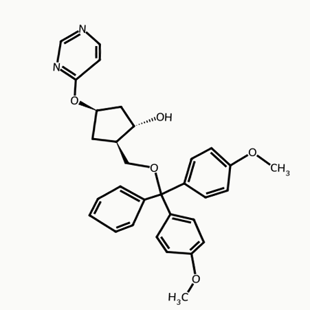 COc1ccc(C(OC[C@H]2C[C@@H](Oc3ccncn3)C[C@@H]2O)(c2ccccc2)c2ccc(OC)cc2)cc1